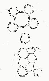 CC1C=C2C3C4=C1C(C)(c1ccc(-n5c6ccccc6c6ccccc6c6ccccc6c6ccccc65)cc1)C=CC4(C)Cc1cccc(c13)C2(C)C